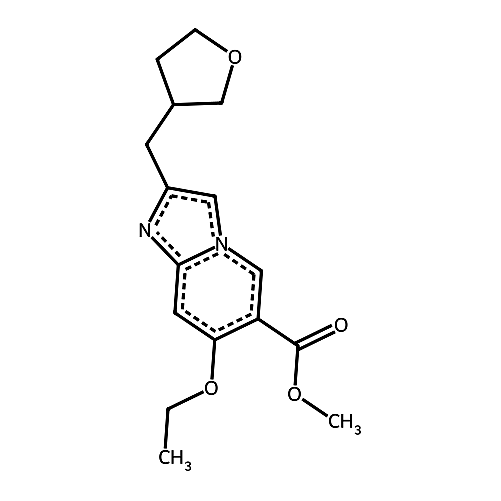 CCOc1cc2nc(CC3CCOC3)cn2cc1C(=O)OC